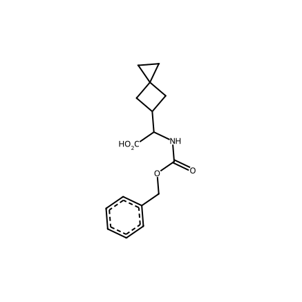 O=C(NC(C(=O)O)C1CC2(CC2)C1)OCc1ccccc1